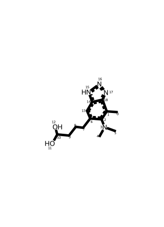 Cc1c(N(C)C)c(CCCC(O)O)cc2[nH]nnc12